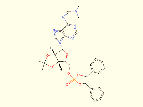 CN(C)/C=N\c1ncnc2c1ncn2[C@@H]1O[C@H](COP(=O)(OCc2ccccc2)OCc2ccccc2)[C@@H]2OC(C)(C)O[C@@H]21